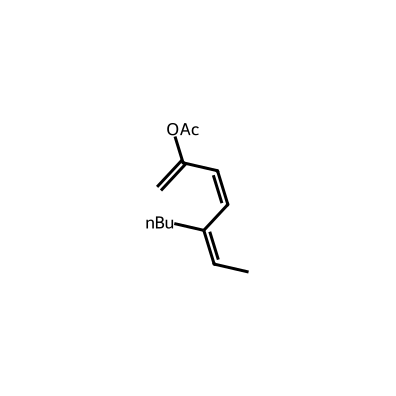 C=C(/C=C\C(=C/C)CCCC)OC(C)=O